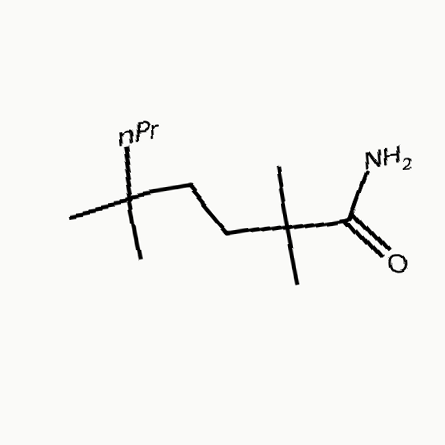 CCCC(C)(C)CCC(C)(C)C(N)=O